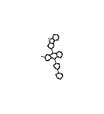 Cc1ccc2c(-c3ccc(-c4ccccc4)cc3)c3ccccc3c(-c3ccc4sc5ccccc5c4c3)c2c1